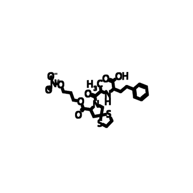 CC(NC(CCc1ccccc1)C(=O)O)C(=O)N1CC2(CC1C(=O)OCCCO[N+](=O)[O-])SCCS2